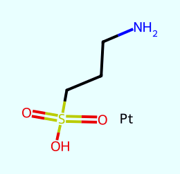 NCCCS(=O)(=O)O.[Pt]